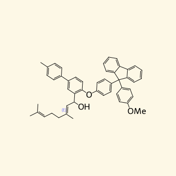 COc1ccc(C2(c3ccc(Oc4ccc(-c5ccc(C)cc5)cc4C(O)/C=C(\C)CCC=C(C)C)cc3)c3ccccc3-c3ccccc32)cc1